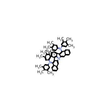 Cc1cc(N(c2cc(C)c(C)c(C)c2)c2c3ccccc3cc3c2c2cccc4c5c(N(c6cc(C)c(C)c(C)c6)c6cc(C)c(C)c(C)c6)c6ccccc6cc5n3c24)cc(C)c1C